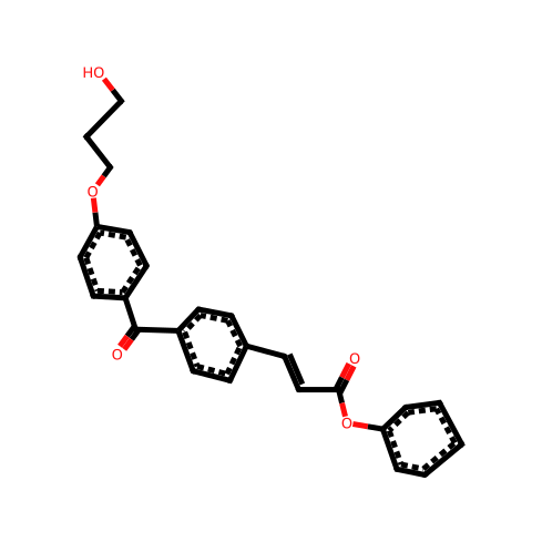 O=C(C=Cc1ccc(C(=O)c2ccc(OCCCO)cc2)cc1)Oc1ccccc1